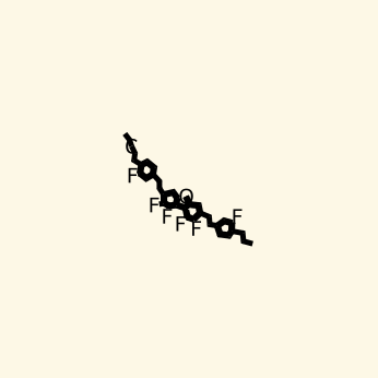 CCCCCc1ccc(CCc2cc3oc4cc(CCc5ccc(CCC)c(F)c5)c(F)c(F)c4c3c(F)c2F)cc1F